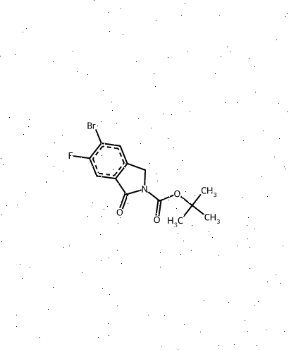 CC(C)(C)OC(=O)N1Cc2cc(Br)c(F)cc2C1=O